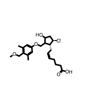 COCc1c(C)cc(OCC2C(O)C[C@@H](Cl)[C@@H]2C/C=C\CCCC(=O)O)cc1C